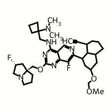 C#CC1CCCC2CC(OCOC)CC(c3ncc4c(NCC5(N(C)C)CCC5)nc(OC[C@@]56CCCN5C[C@H](F)C6)nc4c3F)C12